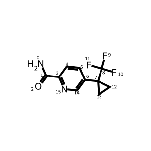 NC(=O)c1ccc(C2(C(F)(F)F)CC2)cn1